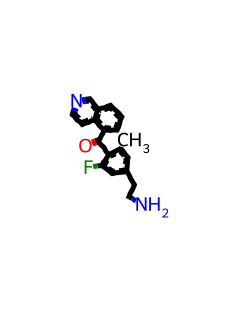 Cc1cc(CCN)cc(F)c1C(=O)c1cccc2cnccc12